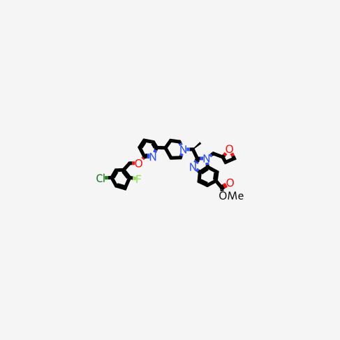 COC(=O)c1ccc2nc([C@H](C)N3CCC(c4cccc(OCc5cc(Cl)ccc5F)n4)CC3)n(CC3CCO3)c2c1